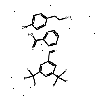 NCCc1ccc(Cl)cc1.O=C(O)c1ccccc1.O=Cc1cc(C(F)(F)F)cc(C(F)(F)F)c1